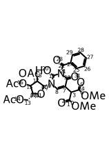 COC(=O)C(C(=O)OC)C1=CN([C@@H]2O[C@H](COC(C)=O)C(OC(C)=O)C2OC(C)=O)C(O)N(C(=O)c2ccccc2)C1=O